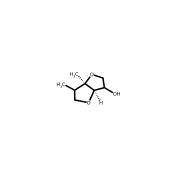 CC1CO[C@@H]2C(O)CO[C@]12C